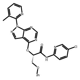 Cc1cccnc1-n1ncc2c(O[C@@H](COC(C)C)C(=O)Nc3ccc(Cl)cn3)ncnc21